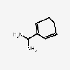 NC(N)C1=CCCC=C1